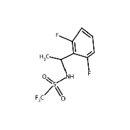 CC(NS(=O)(=O)C(F)(F)F)c1c(F)cccc1F